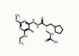 CCNc1nc(SC)nc(NNC(=O)[C@@H](CNC(=O)O)CC2CCCC2)c1F